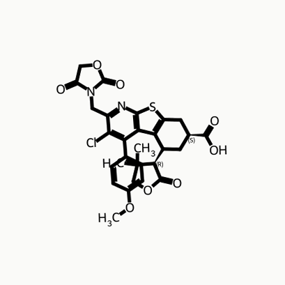 COc1ccc(-c2c(Cl)c(CN3C(=O)COC3=O)nc3sc4c(c23)C([C@H]2C(=O)OCC2(C)C)C[C@H](C(=O)O)C4)cc1